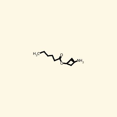 CCCCCC(=O)OC12CC(N)(C1)C2